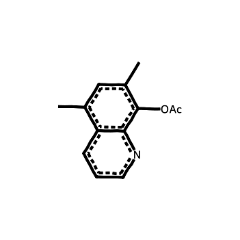 CC(=O)Oc1c(C)cc(C)c2cccnc12